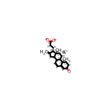 C=C1CC2C3C=CC4=CC(=O)CC[C@]4(C)C3CC[C@]2(C)[C@@H]1CCC(=O)[O-].[K+]